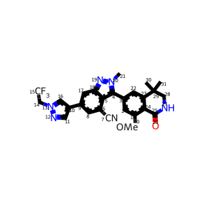 COc1cc(-c2c3c(C#N)cc(-c4cnn(CC(F)(F)F)c4)cc3nn2C)cc2c1C(=O)NCC2(C)C